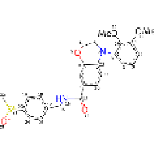 COc1cccc(N2CCOc3cc(C(=O)NCc4ccc([S+](C)[O-])cc4)ccc32)c1OC